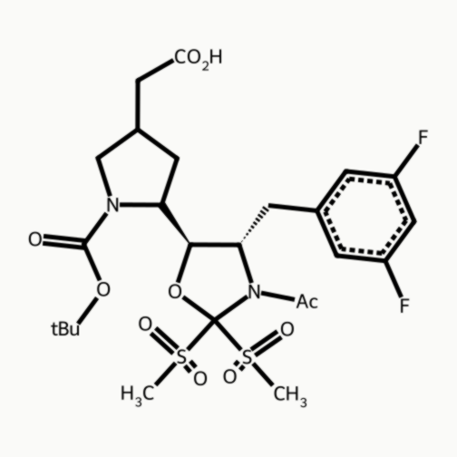 CC(=O)N1[C@@H](Cc2cc(F)cc(F)c2)[C@H](C2CC(CC(=O)O)CN2C(=O)OC(C)(C)C)OC1(S(C)(=O)=O)S(C)(=O)=O